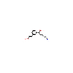 COC(=O)/C(C)=C/c1cccc(C(CCCCC#N)C(=O)O)c1